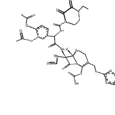 CCN1CCN(C(=O)NC(C(=O)N[C@]2(NC=O)C(=O)N3C(OC(=O)O)=C(CSc4nnc(C)s4)CS[C@H]32)c2ccc(OC(C)=O)c(OC(C)=O)c2)C(=O)C1=O